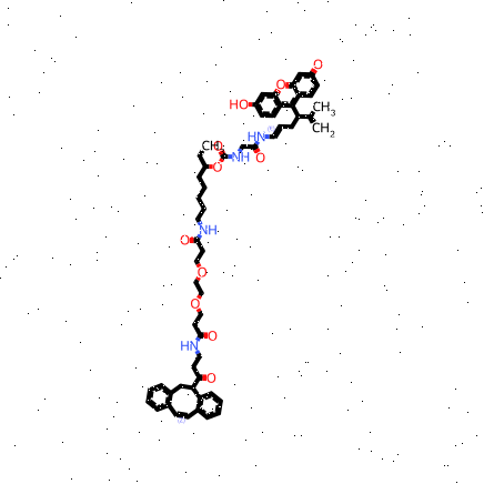 C=C(C)C(C/C=C/NC(=O)CNC(=O)OC(CC)CCCCCNC(=O)CCOCCOCCC(=O)NCCC(=O)C1Cc2ccccc2/C=C\c2ccccc21)c1c2ccc(=O)cc-2oc2cc(O)ccc12